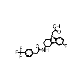 O=C(O)Cn1c2c(c3cc(F)ccc31)CC(NC(=O)Cc1ccc(C(F)(F)F)cc1)CC2